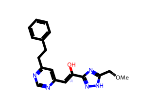 COCc1nc(/C(O)=C/c2cc(CCc3ccccc3)ncn2)n[nH]1